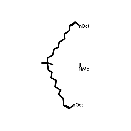 CCCCCCCC/C=C\CCCCCCCCC(C)(C)CCCCCCCC/C=C\CCCCCCCC.CNC